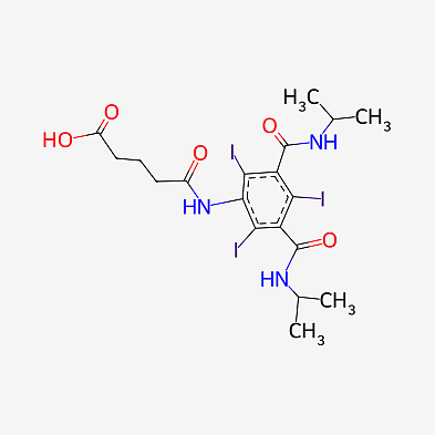 CC(C)NC(=O)c1c(I)c(NC(=O)CCCC(=O)O)c(I)c(C(=O)NC(C)C)c1I